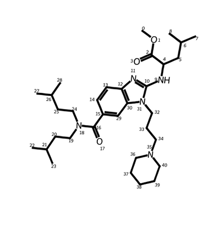 COC(=O)C(CC(C)C)Nc1nc2ccc(C(=O)N(CCC(C)C)CCC(C)C)cc2n1CCCN1CCCCC1